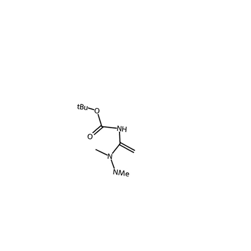 C=C(NC(=O)OC(C)(C)C)N(C)NC